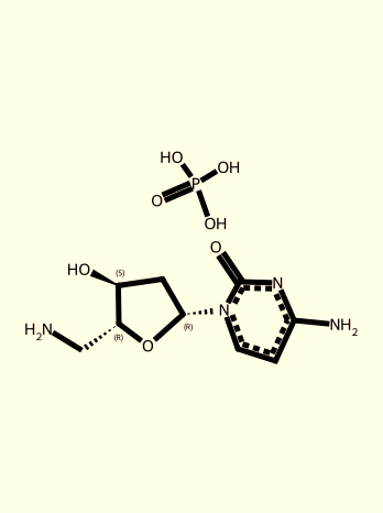 NC[C@H]1O[C@@H](n2ccc(N)nc2=O)C[C@@H]1O.O=P(O)(O)O